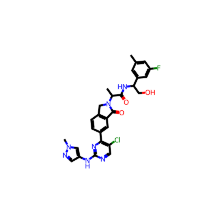 Cc1cc(F)cc(C(CO)NC(=O)C(C)N2Cc3ccc(-c4nc(Nc5cnn(C)c5)ncc4Cl)cc3C2=O)c1